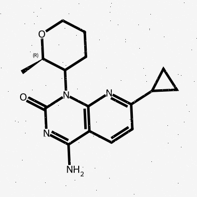 C[C@H]1OCCCC1n1c(=O)nc(N)c2ccc(C3CC3)nc21